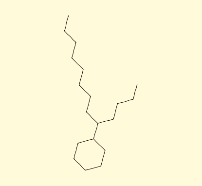 CCCCCCCCC(CCCC)C1CCCCC1